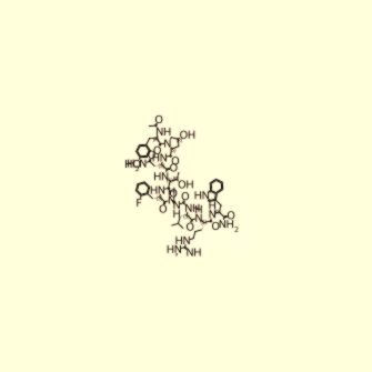 CNC(=N)NCCC[C@H](NC(=O)[C@H](CC(C)C)NC(=O)NNC(=O)[C@H](Cc1ccccc1F)NC(=O)[C@@H](NC(=O)[C@H](CC(N)=O)NC(=O)[C@@H]1C[C@@H](O)CN1C(=O)[C@@H](Cc1ccc(O)cc1)NC(C)=O)[C@@H](C)O)C(=O)N[C@@H](Cc1c[nH]c2ccccc12)C(N)=O